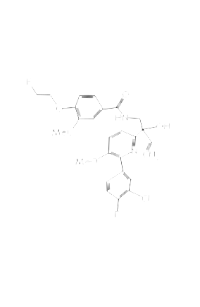 C=CC(O)(CNC(=O)c1ccc(OCCF)c(OC)c1)c1ccc(OC)c(-c2ccc(F)c(Cl)c2)n1